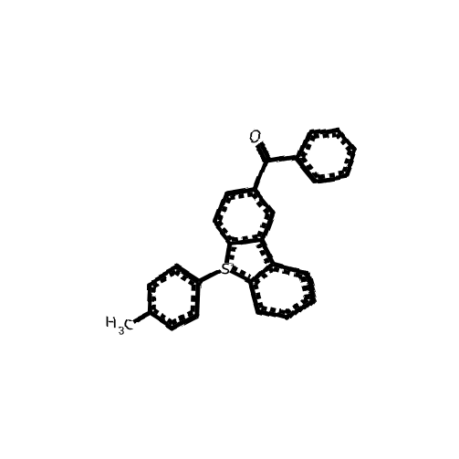 Cc1ccc(-[s+]2c3ccccc3c3cc(C(=O)c4ccccc4)ccc32)cc1